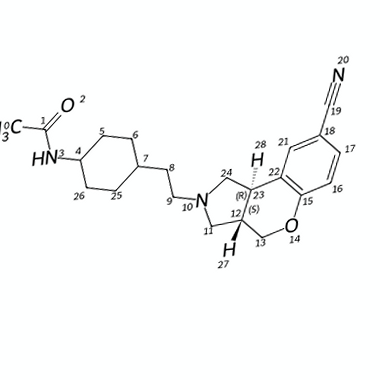 CC(=O)NC1CCC(CCN2C[C@H]3COc4ccc(C#N)cc4[C@@H]3C2)CC1